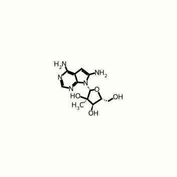 C[C@@]1(O)[C@H](O)[C@@H](CO)O[C@H]1n1c(N)cc2c(N)ncnc21